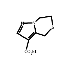 CCOC(=O)c1cnn2c1CSCC2